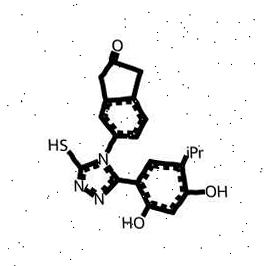 CC(C)c1cc(-c2nnc(S)n2-c2ccc3c(c2)CC(=O)C3)c(O)cc1O